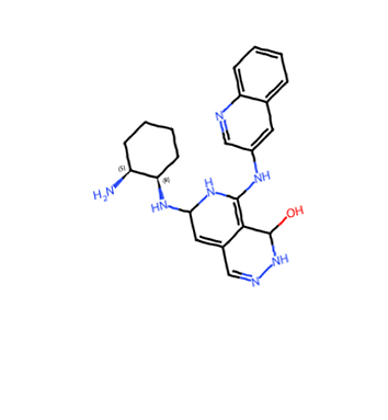 N[C@H]1CCCC[C@H]1NC1C=C2C=NNC(O)C2=C(Nc2cnc3ccccc3c2)N1